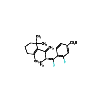 C=C(C(C)=C(F)c1ccc(C(=O)O)cc1F)C1=C(C)CCCC1(C)C